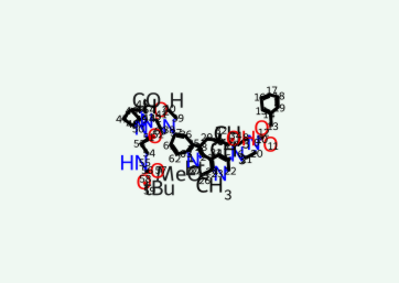 CCn1c(-c2cc(N3CCN(C(=O)OCc4ccccc4)CC3)cnc2[C@H](C)OC)c(CC(C)(C)CO)c2cc(N3CCO[C@H](N4[C@H](C(=O)O)C5CC(C5)N4C(=O)CCNC(=O)OC(C)(C)C)C3)ccc21